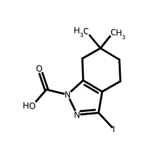 CC1(C)CCc2c(I)nn(C(=O)O)c2C1